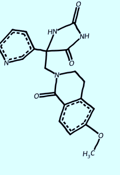 COc1ccc2c(c1)CCN(CC1(c3cccnc3)NC(=O)NC1=O)C2=O